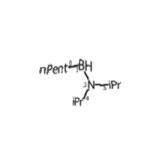 CCCCCBN(C(C)C)C(C)C